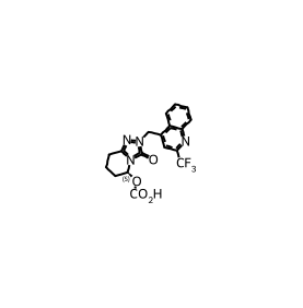 O=C(O)O[C@H]1CCCc2nn(Cc3cc(C(F)(F)F)nc4ccccc34)c(=O)n21